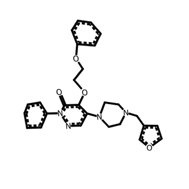 O=c1c(OCCOc2ccccc2)c(N2CCN(Cc3ccoc3)CC2)cnn1-c1ccccc1